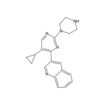 c1ccc2ncc(-c3nc(N4CCNCC4)ncc3C3CC3)cc2c1